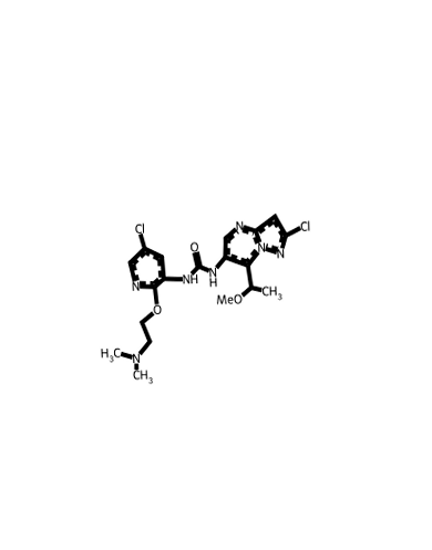 COC(C)c1c(NC(=O)Nc2cc(Cl)cnc2OCCN(C)C)cnc2cc(Cl)nn12